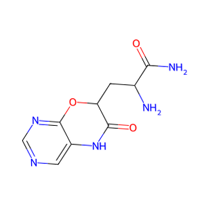 NC(=O)C(N)CC1Oc2ncncc2NC1=O